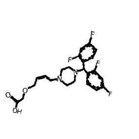 O=C(O)COC/C=C\CN1CCN(C(c2ccc(F)cc2F)c2ccc(F)cc2F)CC1